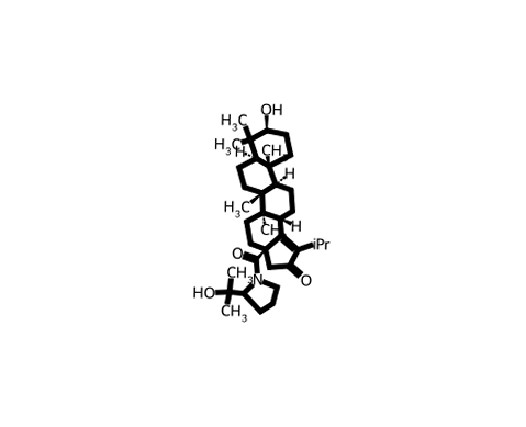 CC(C)C1=C2[C@H]3CC[C@@H]4[C@@]5(C)CC[C@H](O)C(C)(C)[C@@H]5CC[C@@]4(C)[C@]3(C)CC[C@@]2(C(=O)N2CCCC2C(C)(C)O)CC1=O